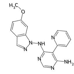 COc1ccc2cnn(Nc3ncnc(N)c3-c3ccccn3)c2c1